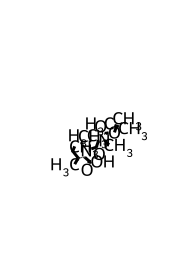 CCC(C)[C@@H](C(=O)O)N(CC)C(=O)[C@@H](C)N(C)C(=O)OC(C)(C)C